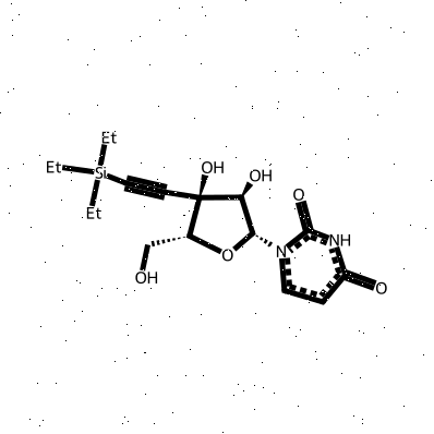 CC[Si](C#C[C@@]1(O)[C@@H](CO)O[C@@H](n2ccc(=O)[nH]c2=O)[C@@H]1O)(CC)CC